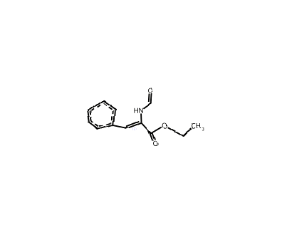 CCOC(=O)/C(=C/c1ccccc1)NC=O